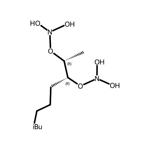 CCC(C)CCC[C@@H](ON(O)O)[C@@H](C)ON(O)O